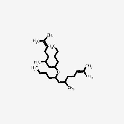 CCCCC(CC(C)CCC=C(C)C)OC(CCCC)CC(C)CCC=C(C)C